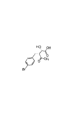 O=C(O)[C@@H](O)[C@@H](Cc1ccc(Br)cc1)C(=O)O